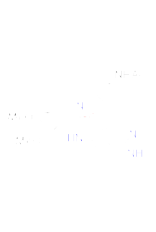 COc1ccc(C(Nc2ccc3c(N)nccc3c2)C(=O)N2CCCC2c2cccc(NC(C)=O)c2)cc1OC